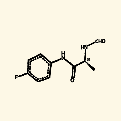 C[C@H](NC=O)C(=O)Nc1ccc(F)cc1